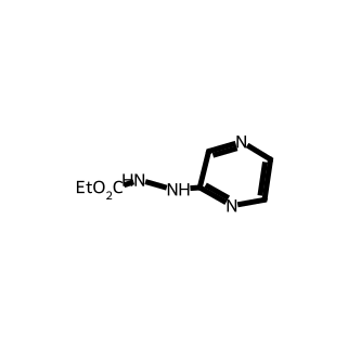 CCOC(=O)NNc1cnccn1